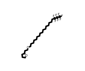 FC(F)(F)C(F)(F)C(F)(F)CCCCCCCCCCCCCCCCOCCC1CCCO1